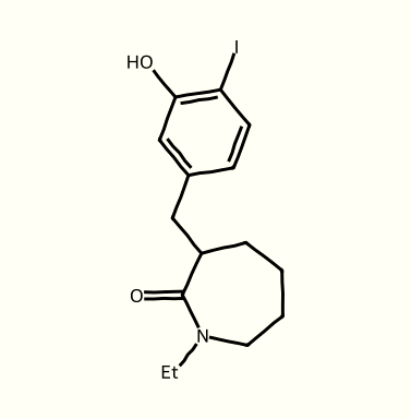 CCN1CCCCC(Cc2ccc(I)c(O)c2)C1=O